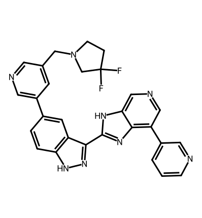 FC1(F)CCN(Cc2cncc(-c3ccc4[nH]nc(-c5nc6c(-c7cccnc7)cncc6[nH]5)c4c3)c2)C1